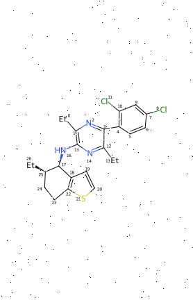 CCc1nc(-c2ccc(Cl)cc2Cl)c(CC)nc1N[C@H]1c2ccsc2CC[C@H]1CC